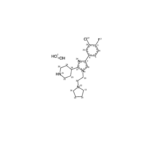 Cl.Cl.Fc1ccc(-c2cn(CCN3CCCC3)c(C3CCNCC3)n2)cc1Cl